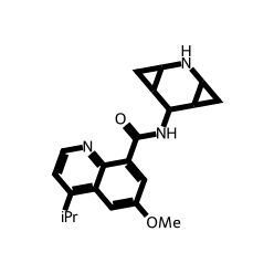 COc1cc(C(=O)NC2C3CC3NC3CC32)c2nccc(C(C)C)c2c1